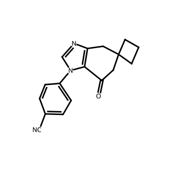 N#Cc1ccc(-n2cnc3c2C(=O)CC2(CCC2)C3)cc1